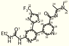 CCNC(=O)Nc1cc(-c2nc(C(F)(F)F)cs2)c(-c2cncc(C(=O)/N=C(\C)N(C)C)c2)cn1